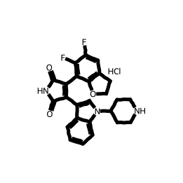 Cl.O=C1NC(=O)C(c2cn(C3CCNCC3)c3ccccc23)=C1c1c(F)c(F)cc2c1OCC2